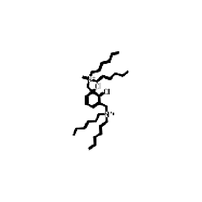 CCCCCC[N+](C)(CCCCCC)CC1=CC=CC(Cl)(C[N+](C)(CCCCCC)CCCCCC)C1Cl